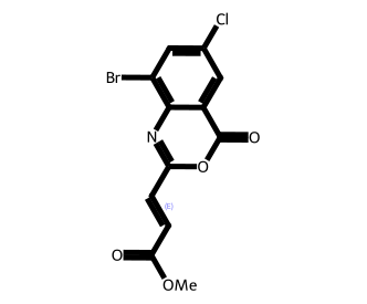 COC(=O)/C=C/c1nc2c(Br)cc(Cl)cc2c(=O)o1